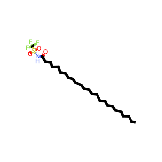 CCCCCCCCCCCCCCCCCCCCCCCCC(=O)NS(=O)(=O)C(F)(F)F